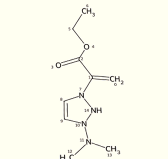 C=C(C(=O)OCC)N1C=CN(N(C)C)N1